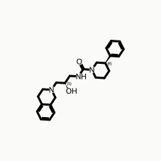 O=C(NC[C@H](O)CN1CCc2ccccc2C1)N1CCC[C@H](c2ccccc2)C1